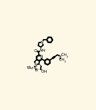 CN(C)CC#Cc1cccc(-c2nc(C(=O)N[C@H]3CCN(Cc4ccccc4)C3)cc3c2[C@@H](CCO)N([S@+]([O-])C(C)(C)C)C3)c1